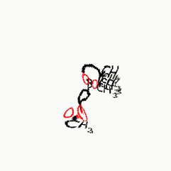 CC(=O)Oc1ccc(B2OCCCCC(C)(C)C(C)(C)O2)cc1